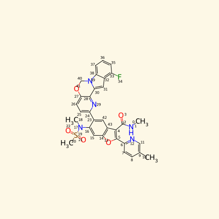 CNC(=O)c1c(-c2ccc(C)cn2)oc2cc(N(C)S(C)(=O)=O)c(-c3ccc4c(n3)-c3cc5c(F)cccc5n3CO4)cc12